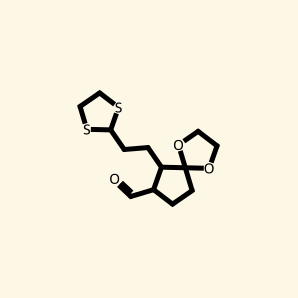 O=CC1CCC2(OCCO2)C1CCC1SCCS1